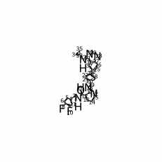 O=C(NCc1ccc(F)c(F)c1)c1cccnc1NCc1ccc(-c2ccc3ncnc(NC4CC4)c3c2)s1